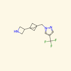 FC(F)(F)c1cnn(CC23CC(C4CNC4)(C2)C3)c1